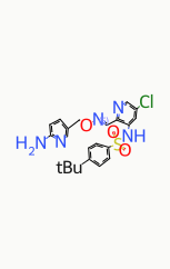 CC(C)(C)c1ccc(S(=O)(=O)Nc2cc(Cl)cnc2/C=N/OCc2ccc(N)nc2)cc1